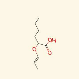 CC=COC(CCCC)C(=O)O